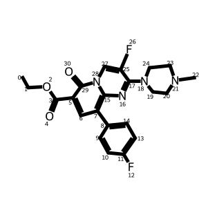 CCOC(=O)c1cc(-c2ccc(F)cc2)c2nc(N3CCN(C)CC3)c(F)cn2c1=O